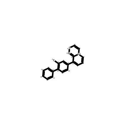 Fc1cc(C2=CC=CN3C=CSN=C23)ccc1-c1ccccc1